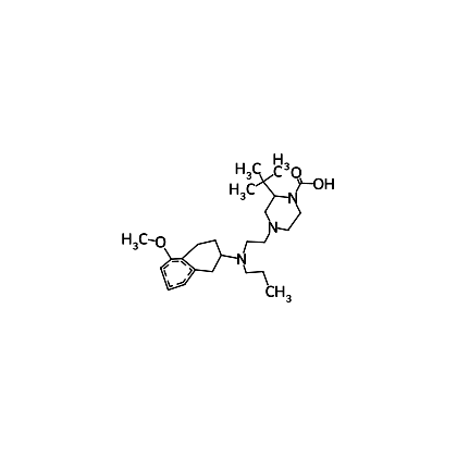 CCCN(CCN1CCN(C(=O)O)C(C(C)(C)C)C1)C1CCc2c(cccc2OC)C1